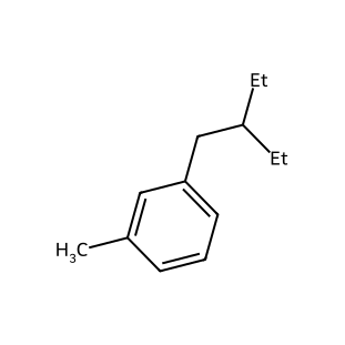 CCC(CC)Cc1cccc(C)c1